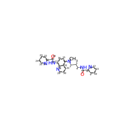 CN(CCCNC(=O)c1ccccn1)c1ccc(NC(=O)c2ccccn2)c2ncccc12